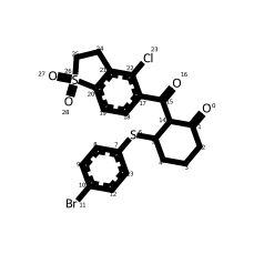 O=C1CCCC(Sc2ccc(Br)cc2)C1C(=O)c1ccc2c(c1Cl)CCS2(=O)=O